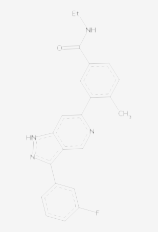 CCNC(=O)c1ccc(C)c(-c2cc3[nH]nc(-c4cccc(F)c4)c3cn2)c1